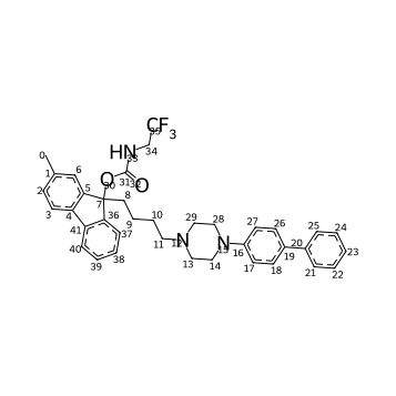 Cc1ccc2c(c1)C(CCCCN1CCN(c3ccc(-c4ccccc4)cc3)CC1)(OC(=O)NCC(F)(F)F)c1ccccc1-2